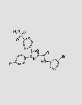 NS(=O)(=O)c1ccc(-c2sc(C(=O)Nc3cccc(Br)c3)nc2-c2ccc(F)cc2)cc1